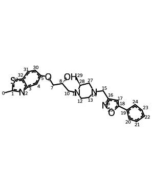 Cc1nc2cc(OC[C@H](O)CN3CCN(Cc4cc(-c5ccccc5)on4)C[C@@H]3C)ccc2s1